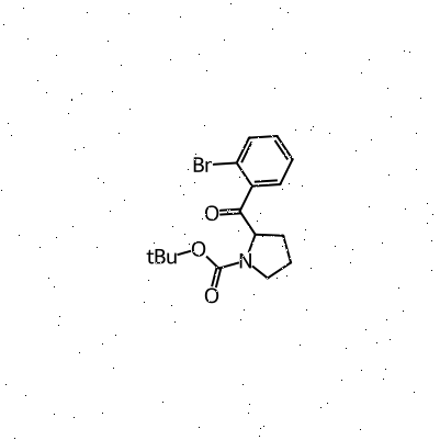 CC(C)(C)OC(=O)N1CCCC1C(=O)c1ccccc1Br